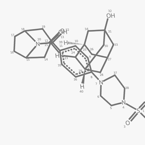 CS(=O)(=O)N1CCN(c2ccc(C3(O)CC4CCC(C3)N4C(=O)NC3[C@@H]4CC5C[C@H]3CC(O)(C5)C4)cc2)CC1